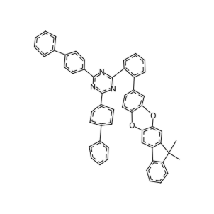 CC1(C)c2ccccc2-c2cc3c(cc21)Oc1cc(-c2ccccc2-c2nc(-c4ccc(-c5ccccc5)cc4)nc(-c4ccc(-c5ccccc5)cc4)n2)ccc1O3